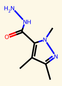 Cc1nn(C)c(C(=O)NN)c1C